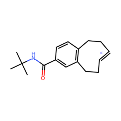 CC(C)(C)NC(=O)c1ccc2c(c1)CC/C=C/CC2